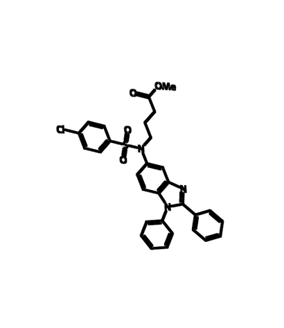 COC(=O)CCCN(c1ccc2c(c1)nc(-c1ccccc1)n2-c1ccccc1)S(=O)(=O)c1ccc(Cl)cc1